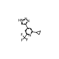 FC(F)(F)c1cc(-c2c[nH]nn2)cc(C2CC2)n1